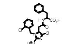 CCCCc1nc(Cl)c(CC(=O)NC(Cc2ccccc2)C(=O)O)n1Cc1ccccc1Cl